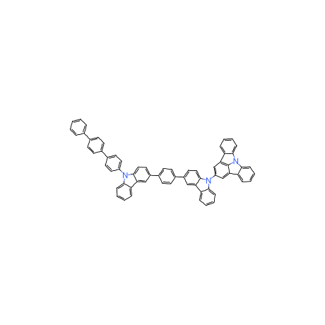 c1ccc(-c2ccc(-c3ccc(-n4c5ccccc5c5cc(-c6ccc(-c7ccc8c(c7)c7ccccc7n8-c7cc8c9ccccc9n9c%10ccccc%10c(c7)c89)cc6)ccc54)cc3)cc2)cc1